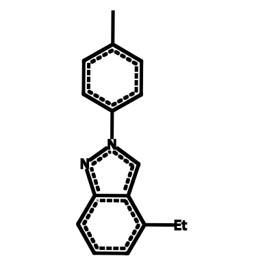 CCc1cccc2nn(-c3ccc(C)cc3)cc12